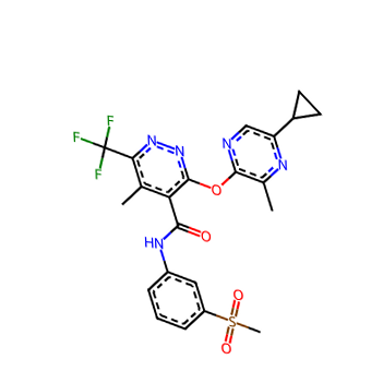 Cc1nc(C2CC2)cnc1Oc1nnc(C(F)(F)F)c(C)c1C(=O)Nc1cccc(S(C)(=O)=O)c1